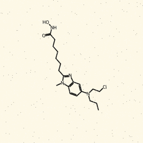 CCCN(CCCl)c1ccc2c(c1)nc(CCCCCCC(=O)NO)n2C